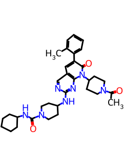 CC(=O)N1CCC(n2c(=O)c(-c3ccccc3C)cc3cnc(NC4CCN(C(=O)NC5CCCCC5)CC4)nc32)CC1